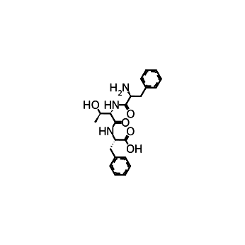 C[C@@H](O)[C@H](NC(=O)[C@@H](N)Cc1ccccc1)C(=O)N[C@@H](Cc1ccccc1)C(=O)O